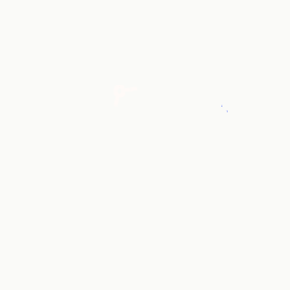 Fc1cc(Cl)c2occ(C3=CCCNC3)c2c1